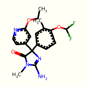 CCOc1cc(C2(c3ccc(OC(F)F)c(C)c3)N=C(N)N(C)C2=O)ccn1